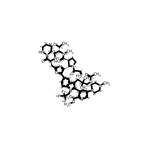 C=CC(=O)N1CC[C@H](C(=O)N(C)[C@H](C(=O)N[C@@H](Cc2ncc(-c3ccc4c(c3)c(CC(C)(C)COC(C)=O)c(-c3cc(N5CCN(C)CC5)cnc3[C@H](C)OC)n4CC(F)(F)F)o2)C(=O)N2CCCCN2)C(C)C)C1